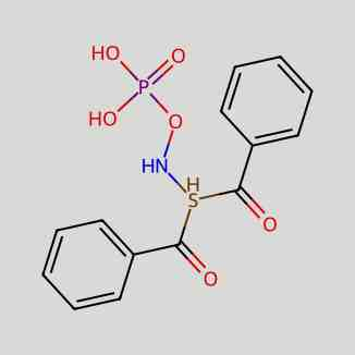 O=C(c1ccccc1)[SH](NOP(=O)(O)O)C(=O)c1ccccc1